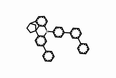 c1ccc(-c2cccc(-c3ccc(N4c5cc(-c6ccccc6)ccc5C56CCC(C5)c5cccc4c56)cc3)c2)cc1